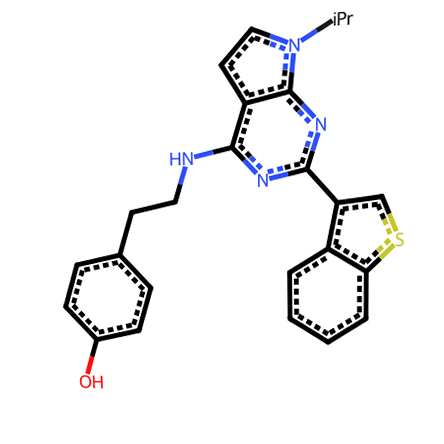 CC(C)n1ccc2c(NCCc3ccc(O)cc3)nc(-c3csc4ccccc34)nc21